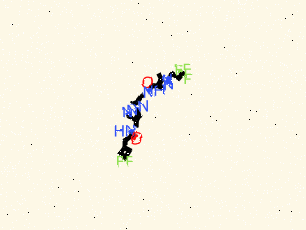 Cc1c(C(=O)NCc2cn3ncc(CNC(=O)CC4CC(F)(F)C4)cc3n2)cnn1CCC(F)(F)F